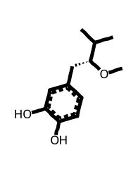 CO[C@H](Cc1ccc(O)c(O)c1)C(C)C